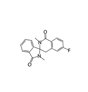 CN1C(=O)c2ccc(F)cc2CC12c1ccccc1C(=O)N2C